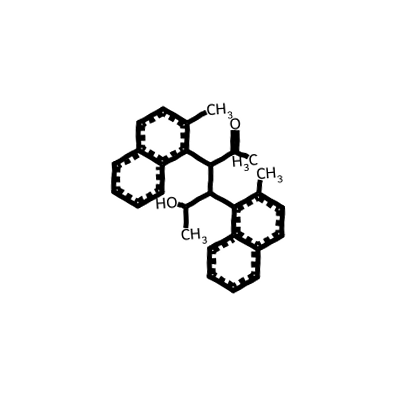 CC(=O)C(c1c(C)ccc2ccccc12)C(c1c(C)ccc2ccccc12)C(C)O